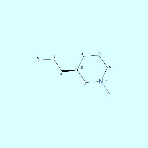 CCC[C@H]1CCCN(C)C1